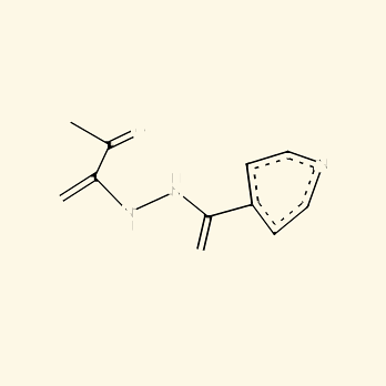 C=C(NNC(=O)c1ccncc1)C(C)=O